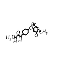 CNC(=O)NC1CCC(Oc2cc(=O)n(C)cc2Br)CC1